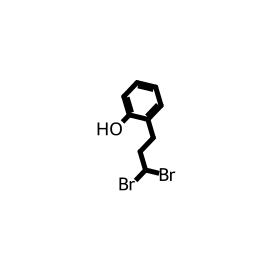 Oc1ccccc1CCC(Br)Br